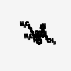 CCCCCCC(C)NC(=O)C(c1cc(CCC)nc(-n2ccnc2)n1)N1CCCCC1